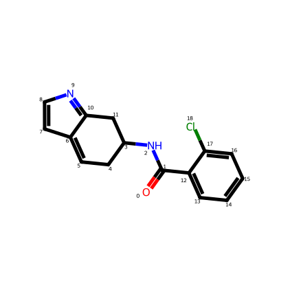 O=C(NC1CC=C2C=CN=C2C1)c1ccccc1Cl